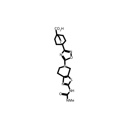 CNC(=O)Nc1nc2c(s1)CN(c1nc(C34CCC(C(=O)O)(CC3)CC4)no1)CC2